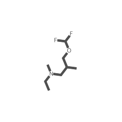 CCN(C)CC(C)COC(F)F